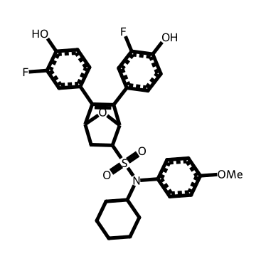 COc1ccc(N(C2CCCCC2)S(=O)(=O)C2CC3OC2C(c2ccc(O)c(F)c2)=C3c2ccc(O)c(F)c2)cc1